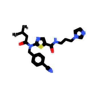 CC(C)CC(=O)N(Cc1ccc(C#N)cc1)c1ncc(C(=O)NCCCn2ccnc2)s1